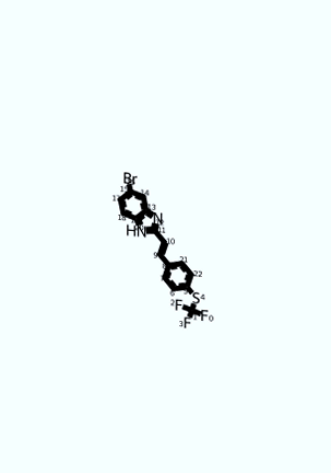 FC(F)(F)Sc1ccc(/C=C/c2nc3cc(Br)ccc3[nH]2)cc1